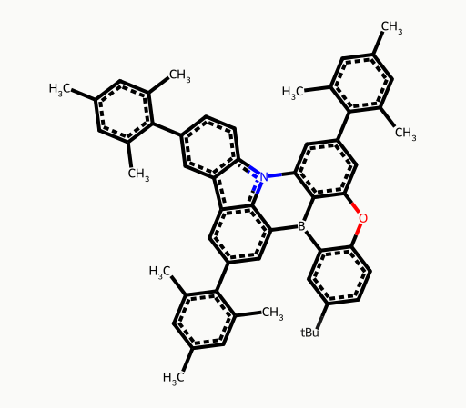 Cc1cc(C)c(-c2cc3c4c(c2)-n2c5ccc(-c6c(C)cc(C)cc6C)cc5c5cc(-c6c(C)cc(C)cc6C)cc(c52)B4c2cc(C(C)(C)C)ccc2O3)c(C)c1